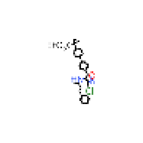 CCOC(=O)C1(c2ccc(-c3ccc(-c4onc(C)c4NC(C)CCc4ccccc4Cl)cc3)cc2)CC1